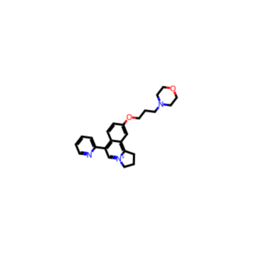 c1ccc(-c2c[n+]3c(c4cc(OCCCN5CCOCC5)ccc24)CCC3)nc1